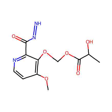 COc1ccnc(C(=O)N=N)c1OCOC(=O)C(C)O